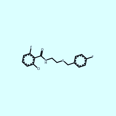 O=C(NCCSCc1ccc(F)cc1)c1c(F)cccc1Cl